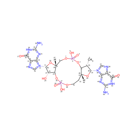 C[C@H]1C2OP(=O)(O)OC[C@H]3O[C@@H](n4cnc5c(=O)[nH]c(N)nc54)[C@@H](O)C3OP(=O)(O)OCC[C@H]2O[C@H]1n1cnc2c(=O)[nH]c(N)nc21